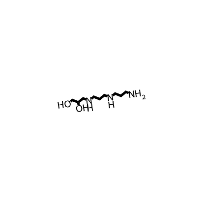 NCCCNCCCNCC(O)CO